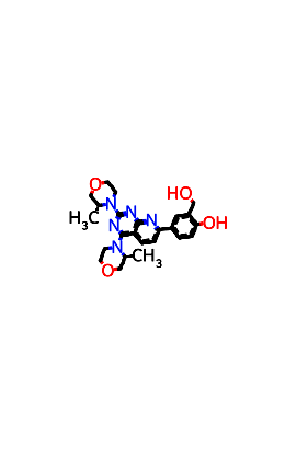 C[C@H]1COCCN1c1nc(N2CCOC[C@@H]2C)c2ccc(-c3ccc(O)c(CO)c3)nc2n1